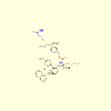 N=C(N)NCCSC(CC(=O)O)C(=O)O.O=C(O)CCC(NC(=O)OCc1ccccc1)C(=O)O.O=C(O)c1cccc2c1-c1ccc([N+](=O)[O-])cc1C2.O=C(O)c1cccc2cccc(Br)c12